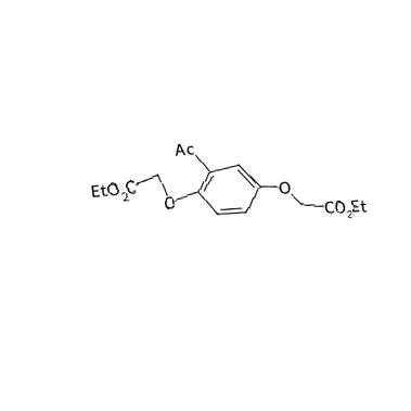 CCOC(=O)COc1ccc(OCC(=O)OCC)c(C(C)=O)c1